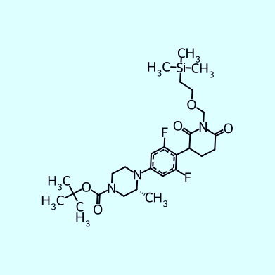 C[C@@H]1CN(C(=O)OC(C)(C)C)CCN1c1cc(F)c(C2CCC(=O)N(COCC[Si](C)(C)C)C2=O)c(F)c1